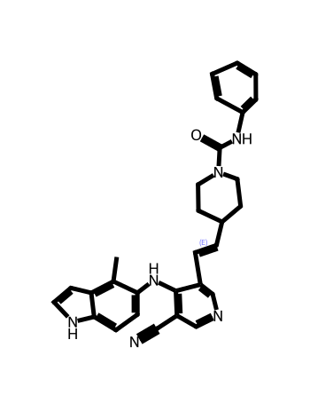 Cc1c(Nc2c(C#N)cncc2/C=C/C2CCN(C(=O)Nc3ccccc3)CC2)ccc2[nH]ccc12